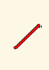 C=NOC(=O)CNCCOCCOCCOCCOCCOCCOCCOCCOCCOCCOCCOCCOCCOCCOCCOCCOCCOCCOCCOCCOCCOCCOCCOCCOCCC(=O)CC